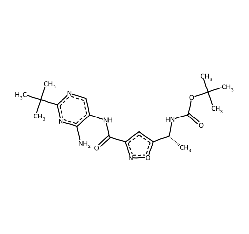 C[C@@H](NC(=O)OC(C)(C)C)c1cc(C(=O)Nc2cnc(C(C)(C)C)nc2N)no1